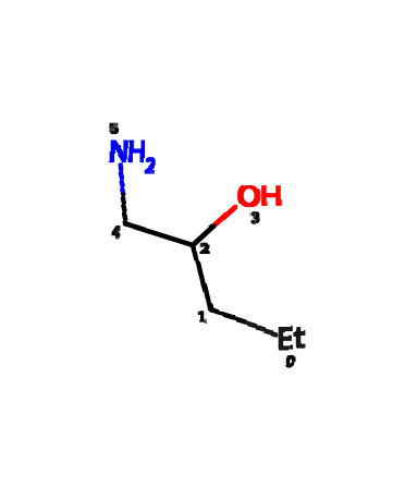 [CH2]CCC(O)CN